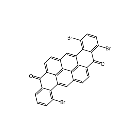 O=c1c2cccc(Br)c2c2cc3ccc4c(=O)c5c(Br)ccc(Br)c5c5cc6ccc1c2c6c3c45